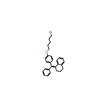 BrCCCCCOc1ccc(/C(=C2/CCCc3ccccc32)c2ccccc2)cc1